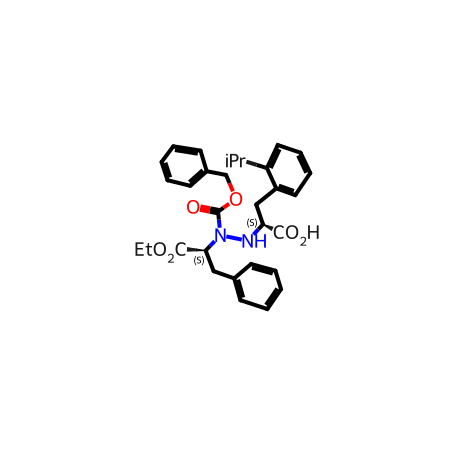 CCOC(=O)[C@H](Cc1ccccc1)N(N[C@@H](Cc1ccccc1C(C)C)C(=O)O)C(=O)OCc1ccccc1